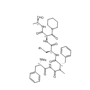 CN[C@@H](Cc1ccccc1)C(=O)NC(=O)N(C)[C@@H](Cc1ccccc1)C(=O)N[C@@H](CC(C)C)C(=O)N[C@@H](C(=O)N[C@@H](C)C=O)C(=O)N1CCCCC1